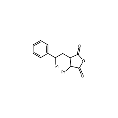 CC(C)C(CC1C(=O)OC(=O)C1C(C)C)c1ccccc1